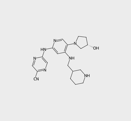 N#Cc1cnc(Nc2cc(NCC3CCCNC3)c(N3CC[C@H](O)C3)cn2)cn1